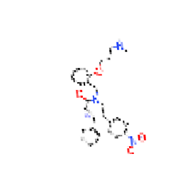 CN(C)CCCOc1ccccc1CN(CCc1ccc([N+](=O)[O-])cc1)C(=O)/C=C/c1ccccc1